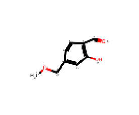 COCc1ccc(C=O)c(O)c1